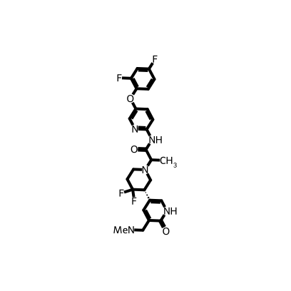 CNCc1cc([C@H]2CN(C(C)C(=O)Nc3ccc(Oc4ccc(F)cc4F)cn3)CCC2(F)F)c[nH]c1=O